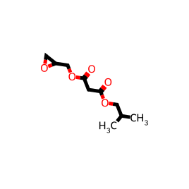 CC(C)COC(=O)CC(=O)OCC1CO1